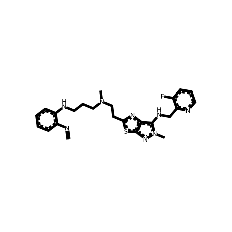 C=Nc1ccccc1NCCCN(C)CCc1nc2c(NCc3ncccc3F)n(C)nc2s1